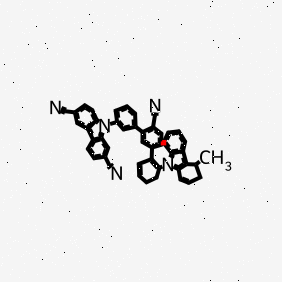 CC1CC=Cc2c1c1ccccc1n2C1=C(c2ccc(C#N)c(-c3cccc(-n4c5ccc(C#N)cc5c5ccc(C#N)cc54)c3)c2)C=CCC1